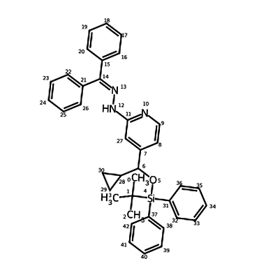 CC(C)(C)[Si](OC(c1ccnc(NN=C(c2ccccc2)c2ccccc2)c1)C1CC1)(c1ccccc1)c1ccccc1